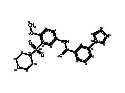 COc1ccc(NC(=O)c2cccc(-n3ccnc3)c2)cc1S(=O)(=O)N1CCOCC1